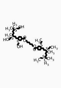 CCCSC(CCC(C)C(CCC1CCC(C(=O)OCCCCCCOC(=O)C2CCC(CCC(SCCO)C(C)CCC(SCCO)C(C)C)C(SCCO)C2)CC1SCCC)SCCC)C(C)C